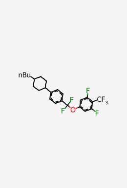 CCCCC1CCC(c2ccc(C(F)(F)Oc3cc(F)c(C(F)(F)F)c(F)c3)cc2)CC1